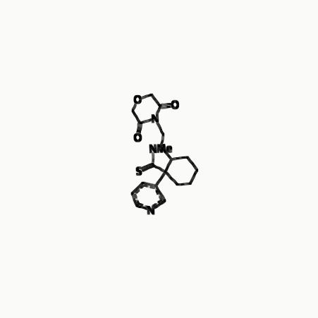 CNC(=S)C1(c2cccnc2)CCCCC1CCN1C(=O)COCC1=O